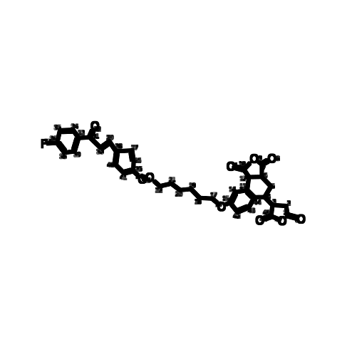 O=C1CC(C2CC3C(=O)OC(=O)C3c3cc(OCCCCCCOOc4ccc(/C=C/C(=O)c5ccc(F)cc5)cc4)ccc32)C(=O)O1